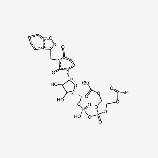 CC(C)C(=O)OCOP(=O)(OCOC(=O)C(C)(C)C)OP(=O)(O)OC[C@H]1O[C@@H](n2ccc(=O)n(Cc3noc4ccccc34)c2=O)C(O)C1O